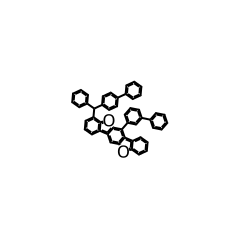 c1ccc(-c2ccc(C(c3ccccc3)c3cccc4c3oc3c(-c5cccc(-c6ccccc6)c5)c5c(cc34)oc3ccccc35)cc2)cc1